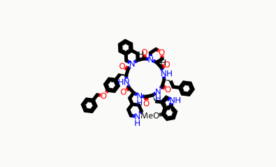 COc1cccc2[nH]cc(C[C@H]3NC(=O)[C@@H](CCc4ccccc4)NC(=O)[C@@H]4COCCN4C(=O)[C@@H]4Cc5ccccc5CN4C(=O)[C@H](Cc4ccc(OCc5ccccc5)cc4)NC(=O)C(CC4CCNCC4)NC3=O)c12